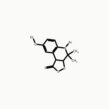 CCOc1ccc2c(c1)C1C(=S)SSC1C(C)(C)N2C(C)=O